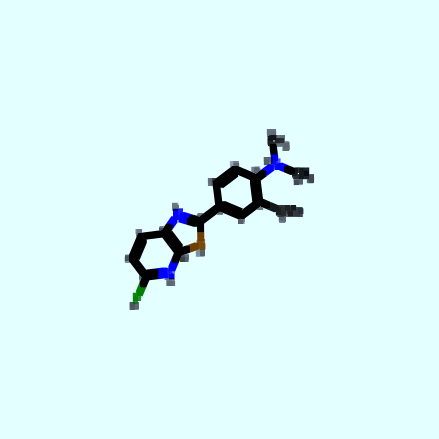 COc1cc(-c2nc3ccc(F)nc3s2)ccc1N(C)C